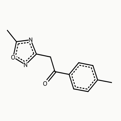 Cc1ccc(C(=O)Cc2noc(C)n2)cc1